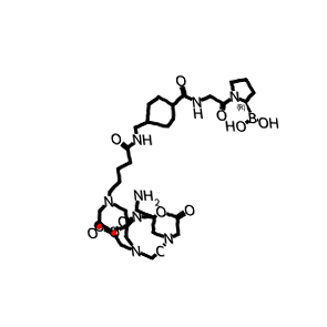 NCC12CN(CCN3CC(=O)ON1C1(C3)CN(CCCCC(=O)NCC3CCC(C(=O)NCC(=O)N4CCC[C@H]4B(O)O)CC3)CC(=O)O1)CC(=O)O2